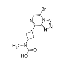 CN(C(=O)O)C1CN(c2ncc(Br)n3nnnc23)C1